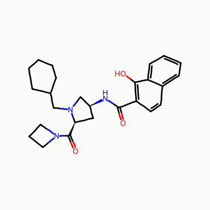 O=C(N[C@H]1C[C@@H](C(=O)N2CCC2)N(CC2CCCCC2)C1)c1ccc2ccccc2c1O